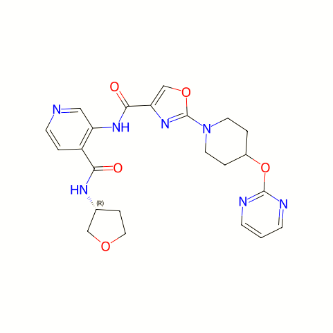 O=C(Nc1cnccc1C(=O)N[C@@H]1CCOC1)c1coc(N2CCC(Oc3ncccn3)CC2)n1